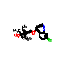 CC(C)(O)C(C)(C)COc1ccnc2cc(Cl)ccc12